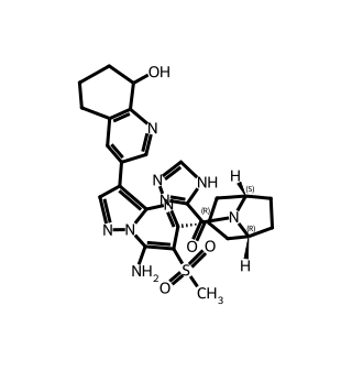 CS(=O)(=O)c1c([C@H]2C[C@H]3CC[C@@H](C2)N3C(=O)c2nnc[nH]2)nc2c(-c3cnc4c(c3)CCCC4O)cnn2c1N